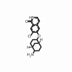 NC1CC[C@@H]2C[C@H]1CCC2Oc1cc2cc[nH]c(=O)c2cc1Cl